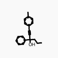 CCCC(O)(C#Cc1ccc(C)cc1)c1ccccc1